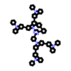 c1ccc(-c2ccccc2-c2cc(-n3c4ccc(-c5ccc6c(c5)c5ccccc5n6-c5ccccc5)cc4c4cc(-c5ccc6c(c5)c5ccccc5n6-c5ccccc5)ccc43)nc(-c3cccc(-n4c5ccc(-c6ccc7c(c6)c6ccccc6n7-c6ccccc6)cc5c5cc(-c6ccc7c(c6)c6ccccc6n7-c6ccccc6)ccc54)c3)n2)cc1